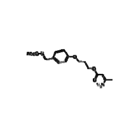 CON=Cc1ccc(OCCCOC(=O)C=C(C)N)cc1